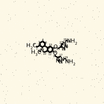 C=Cc1cccc2c1N(C)Cc1cc(OCc3cn(CN)nn3)c(OCc3cn(CN)nn3)cc1-2